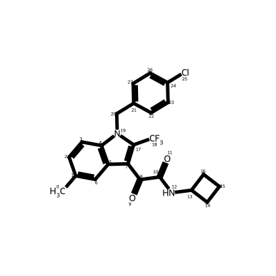 Cc1ccc2c(c1)c(C(=O)C(=O)NC1CCC1)c(C(F)(F)F)n2Cc1ccc(Cl)cc1